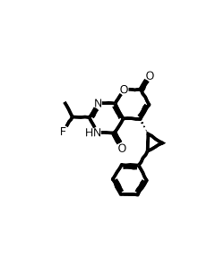 CC(F)c1nc2oc(=O)cc([C@@H]3CC3c3ccccc3)c2c(=O)[nH]1